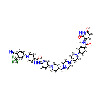 N#Cc1ccc(N2CCC(C(=O)Nc3ccc(N4CCC(CN5CCN(C6CCN(c7ccc8c(c7)CN(C7CCC(=O)NC7=O)C8=O)CC6)CC5)CC4)cn3)CC2)cc1C(F)(F)F